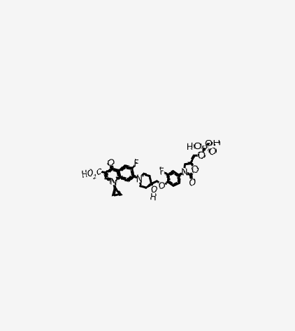 O=C(O)c1cn(C2CC2)c2cc(N3CCC(O)(COc4ccc(N5CC(COP(=O)(O)O)OC5=O)cc4F)CC3)c(F)cc2c1=O